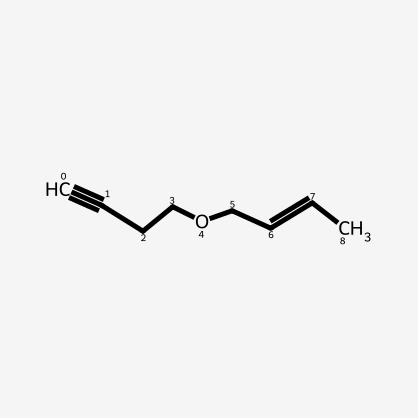 C#CCCOCC=CC